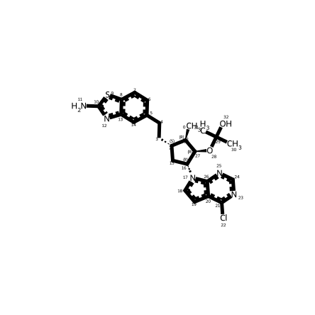 C[C@@H]1[C@@H](CCc2ccc3sc(N)nc3c2)C[C@@H](n2ccc3c(Cl)ncnc32)[C@@H]1OC(C)(C)O